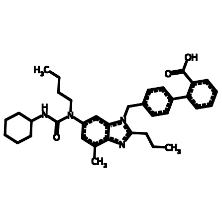 CCCCN(C(=O)NC1CCCCC1)c1cc(C)c2nc(CCC)n(Cc3ccc(-c4ccccc4C(=O)O)cc3)c2c1